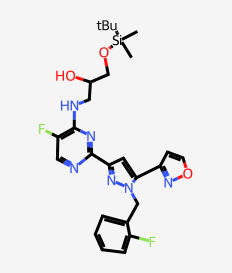 CC(C)(C)[Si](C)(C)OCC(O)CNc1nc(-c2cc(-c3ccon3)n(Cc3ccccc3F)n2)ncc1F